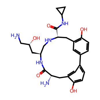 NC[C@H](O)C[C@H]1CN[C@H](C(=O)NC2CC2)Cc2cc(ccc2O)-c2ccc(O)c(c2)C[C@H](N)C(=O)N1